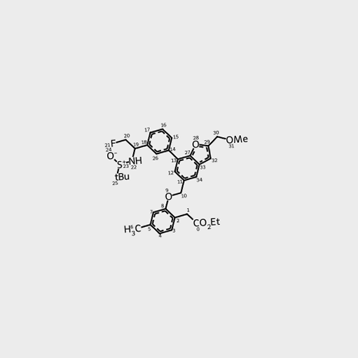 CCOC(=O)Cc1ccc(C)cc1OCc1cc(-c2cccc(C(CF)N[S+]([O-])C(C)(C)C)c2)c2oc(COC)cc2c1